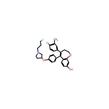 Cc1cc(C2=C(c3ccc(O[C@H]4CCN(CCCF)C4)cc3)c3ccc(O)cc3OCC2)ccc1Cl